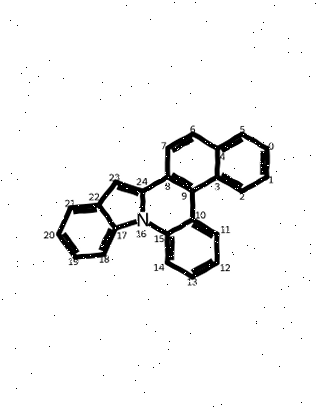 c1ccc2c(c1)ccc1c2c2ccccc2n2c3ccccc3cc12